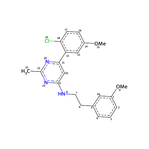 COc1cccc(CCNc2cc(-c3cc(OC)ccc3Cl)nc(C)n2)c1